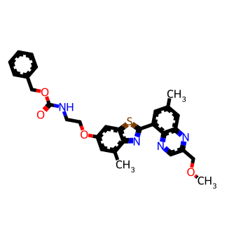 COCc1cnc2c(-c3nc4c(C)cc(OCCNC(=O)OCc5ccccc5)cc4s3)cc(C)cc2n1